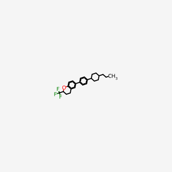 CCCC1CCC(c2ccc(-c3ccc4c(c3)CCC(C(F)(F)F)O4)cc2)CC1